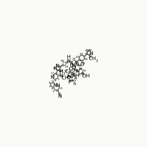 CNc1cc(-c2ccc3cc(C#N)cnn23)ncc1-c1nnc(C2CC(NC(=O)C[C@H](NC(=O)[C@@H]3C[C@@H](O)CN3C(=O)C(NC(=O)C3(F)CC3)C(C)(C)C)c3ccc(-c4scnc4C)cc3)C2)s1